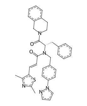 Cc1nc(C)c(C=CC(=O)N(Cc2ccc(-n3cccn3)cc2)[C@@H](Cc2ccccc2)C(=O)N2CCc3ccccc3C2)s1